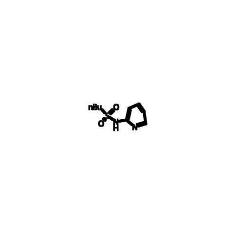 CCCCS(=O)(=O)Nc1ccccn1